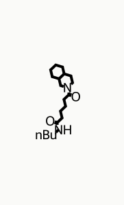 CCCCNC(=O)CCCCC(=O)N1CCC2CCCCC2C1